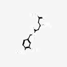 COc1ccc(CNC(=O)[CH][C@H](C)CC(N)=O)cc1O